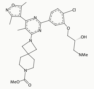 CNC[C@@H](O)COc1cc(-c2nc(-c3c(C)noc3C)c(C)c(N3CC4(CCN(C(=O)OC)CC4)C3)n2)ccc1Cl